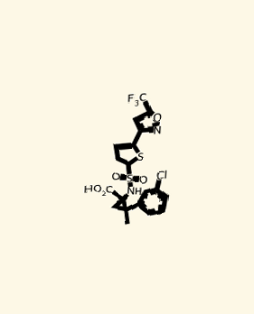 CC1(c2cccc(Cl)c2)CC1(NS(=O)(=O)C1CC=C(c2cc(C(F)(F)F)on2)S1)C(=O)O